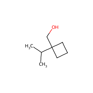 CC(C)C1(CO)CCC1